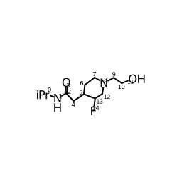 CC(C)NC(=O)CC1CCN(CCO)CC1F